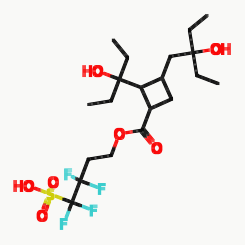 CCC(O)(CC)CC1CC(C(=O)OCCC(F)(F)C(F)(F)S(=O)(=O)O)C1C(O)(CC)CC